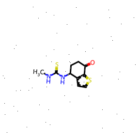 CNC(=S)NC1CCC(=O)c2sccc21